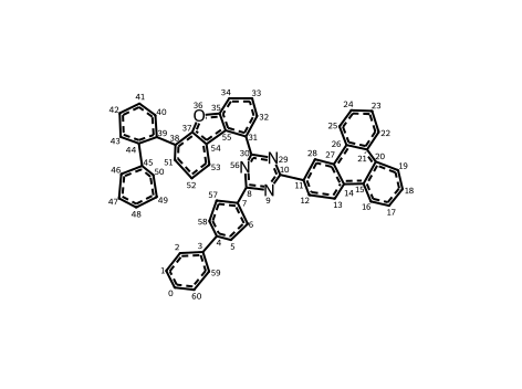 c1ccc(-c2ccc(-c3nc(-c4ccc5c6ccccc6c6ccccc6c5c4)nc(-c4cccc5oc6c(-c7ccccc7-c7ccccc7)cccc6c45)n3)cc2)cc1